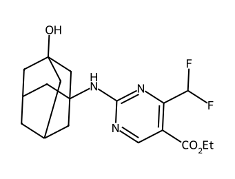 CCOC(=O)c1cnc(NC23CC4CC(CC(O)(C4)C2)C3)nc1C(F)F